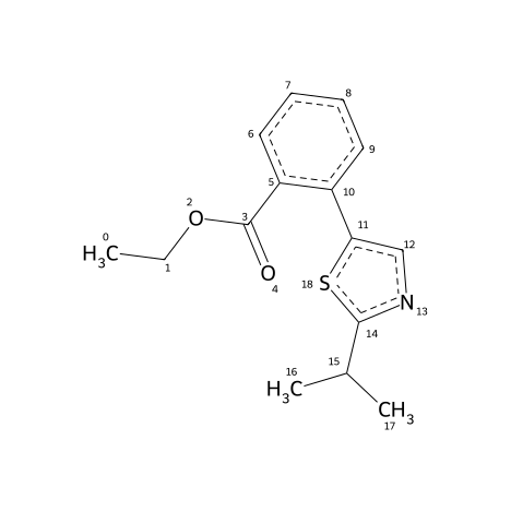 CCOC(=O)c1ccccc1-c1cnc(C(C)C)s1